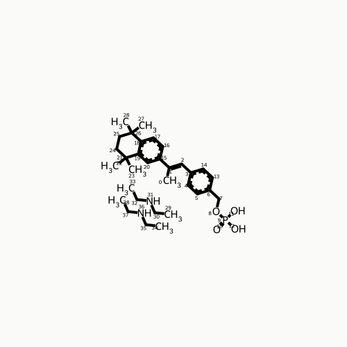 CC(=Cc1ccc(COP(=O)(O)O)cc1)c1ccc2c(c1)C(C)(C)CCC2(C)C.CCNCC.CCNCC